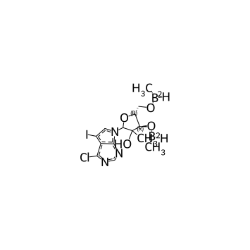 [2H]B(C)OC[C@H]1OC(n2cc(I)c3c(Cl)ncnc32)C(C)(O)[C@@H]1OB([2H])C